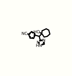 N#Cc1ccc(C(c2nc[nH]n2)C2(O)CCCCCC2)cc1